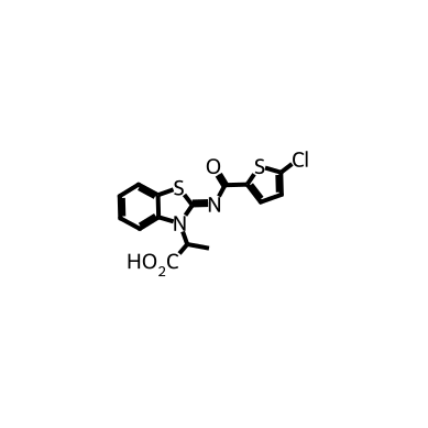 CC(C(=O)O)n1c(=NC(=O)c2ccc(Cl)s2)sc2ccccc21